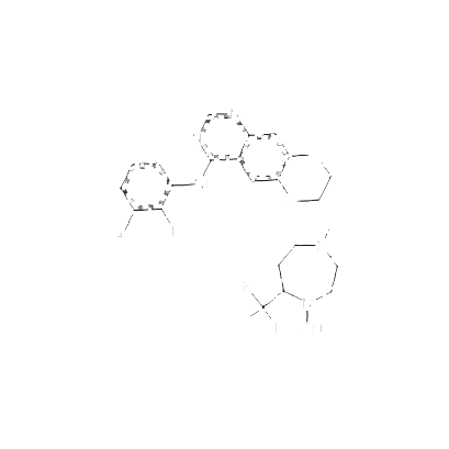 CN1CCN(C[C@H]2COc3cc4ncnc(Nc5cccc(Br)c5F)c4cc3O2)CCC1C(F)(F)F